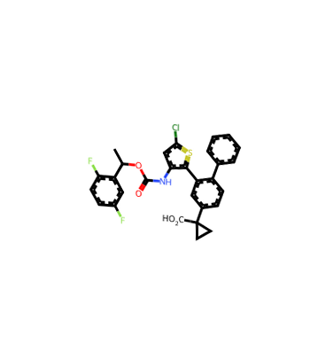 CC(OC(=O)Nc1cc(Cl)sc1-c1cc(C2(C(=O)O)CC2)ccc1-c1ccccc1)c1cc(F)ccc1F